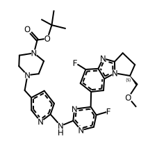 COC[C@@H]1CCc2nc3c(F)cc(-c4nc(Nc5ccc(CN6CCN(C(=O)OC(C)(C)C)CC6)cn5)ncc4F)cc3n21